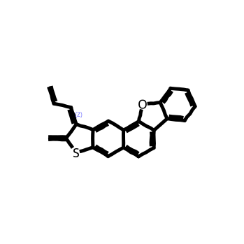 C=C/C=c1\c(=C)sc2cc3ccc4c5ccccc5oc4c3cc12